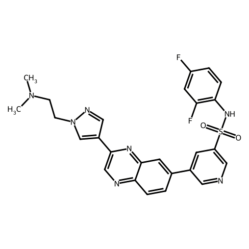 CN(C)CCn1cc(-c2cnc3ccc(-c4cncc(S(=O)(=O)Nc5ccc(F)cc5F)c4)cc3n2)cn1